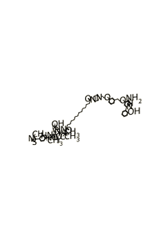 Cc1ncsc1-c1ccc([C@H](C)NC(=O)[C@@H]2C[C@@H](O)CN2C(=O)[C@@H](NC(=O)CCCCCCCCCCCCC(=O)N2CCN(CCOc3cccc(CCOc4cc(-c5ccccc5O)nnc4N)c3)CC2)C(C)(C)C)cc1